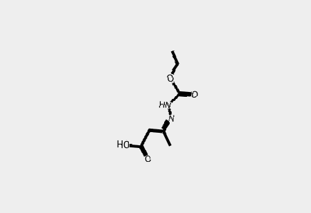 CCOC(=O)NN=C(C)CC(=O)O